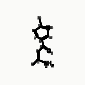 CC(N)=CC(=O)c1ccc(C)nc1